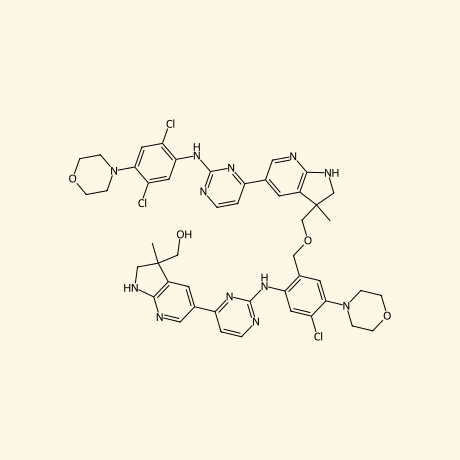 CC1(CO)CNc2ncc(-c3ccnc(Nc4cc(Cl)c(N5CCOCC5)cc4COCC4(C)CNc5ncc(-c6ccnc(Nc7cc(Cl)c(N8CCOCC8)cc7Cl)n6)cc54)n3)cc21